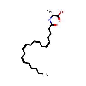 CCCCC/C=C\C/C=C\C/C=C\C/C=C\CCCC(=O)N[C@H](C)C(=O)O